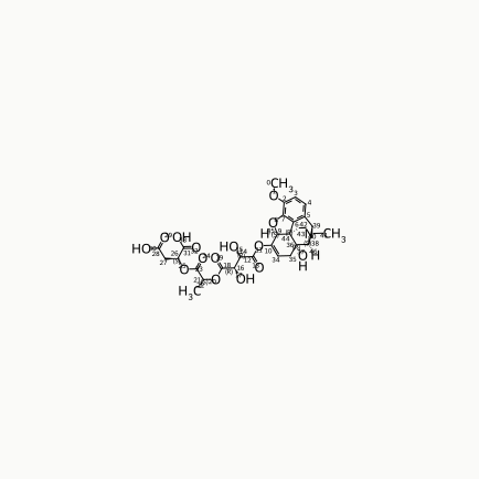 COc1ccc2c3c1O[C@@H]1C(OC(=O)[C@H](O)[C@@H](O)C(=O)O[C@@H](C)C(=O)O[C@@H](CC(=O)O)C(=O)O)=CC[C@]4(O)[C@H](C2)N(C)CC[C@@]314